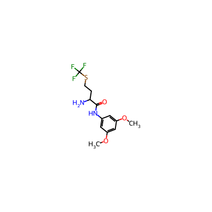 COc1cc(NC(=O)C(N)CCSC(F)(F)F)cc(OC)c1